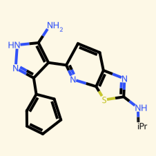 CC(C)Nc1nc2ccc(-c3c(-c4ccccc4)n[nH]c3N)nc2s1